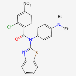 CCN(CC)c1ccc(N(C(=O)c2ccc([N+](=O)[O-])cc2Cl)c2nc3ccccc3s2)cc1